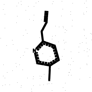 C=CCc1ccc(C)cn1